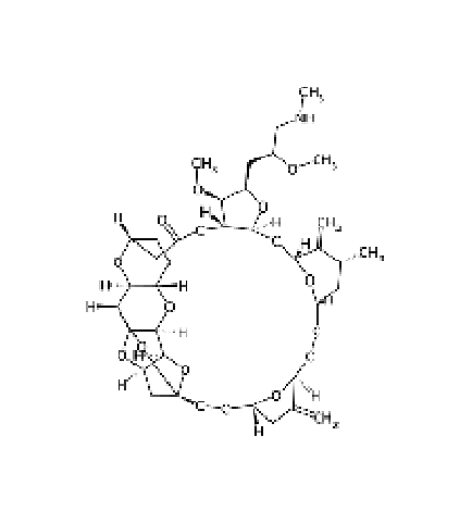 C=C1C[C@@H]2CC[C@@]34C[C@H]5OC6[C@@H](O[C@H]7CC[C@H](CC(=O)C[C@@H]8[C@@H](OC)[C@@H](C[C@@H](CNC)OC)O[C@H]8C[C@H]8O[C@@H](CC[C@@H]1O2)C[C@@H](C)C8=C)O[C@@H]7[C@@H]6O3)[C@H]5O4